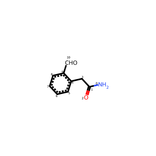 NC(=O)Cc1ccccc1C=O